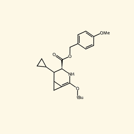 COc1ccc(COC(=O)[C@H]2NC(OC(C)(C)C)=C3CC3C2C2CC2)cc1